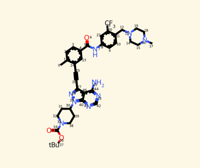 Cc1ccc(C(=O)Nc2ccc(CN3CCN(C)CC3)c(C(F)(F)F)c2)cc1C#Cc1nn(C2CCN(C(=O)OC(C)(C)C)CC2)c2ncnc(N)c12